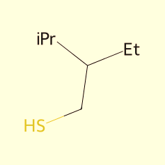 CCC(CS)C(C)C